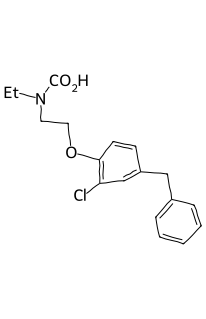 CCN(CCOc1ccc(Cc2ccccc2)cc1Cl)C(=O)O